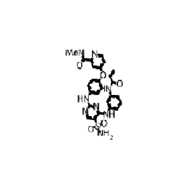 C=CC(=O)Nc1cccc(Nc2nc(Nc3ccc(Oc4ccnc(C(=O)NC)c4)cc3)ncc2S(N)(=O)=O)c1